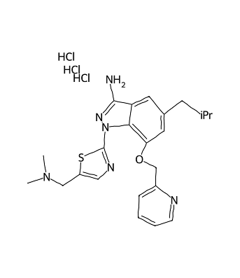 CC(C)Cc1cc(OCc2ccccn2)c2c(c1)c(N)nn2-c1ncc(CN(C)C)s1.Cl.Cl.Cl